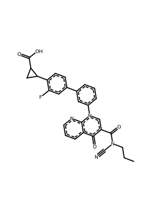 CCCN(C#N)C(=O)c1cn(-c2cccc(-c3ccc(C4CC4C(=O)O)c(F)c3)c2)c2ncccc2c1=O